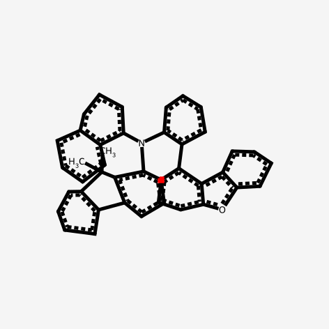 CC1(C)c2ccccc2-c2cccc(N(c3ccccc3-c3cccc4oc5ccccc5c34)c3cccc4ccccc34)c21